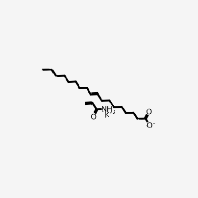 C=CC(N)=O.CCCCCCCCC=CCCCCCCCC(=O)[O-].[K+]